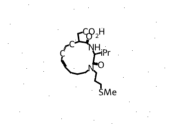 CSCCCN1CCCC=CCCCC(CC(=O)O)C(=O)NC(C(C)C)C1=O